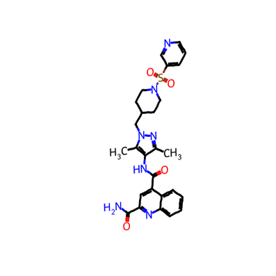 Cc1nn(CC2CCN(S(=O)(=O)c3cccnc3)CC2)c(C)c1NC(=O)c1cc(C(N)=O)nc2ccccc12